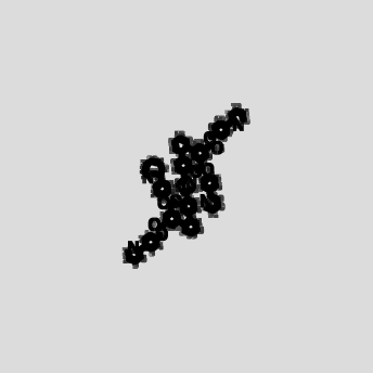 O=C(Oc1ccc(-c2ccccn2)cc1)c1cc(C(=O)Oc2ccc(C3/C=N/C=C\C=C/C3)cc2)cc(-c2ccccc2-c2ccc(-c3cnc(-c4ccc(C5C=CC=CC5c5cc(C(=O)Oc6ccc(-c7ccccn7)cc6)cc(C(=O)Oc6ccc(-c7ccccn7)cc6)c5)cc4)cn3)cc2)c1